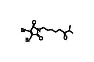 CC(C)C(=O)CCCCCN1C(=O)C(Br)=C(Br)C1=O